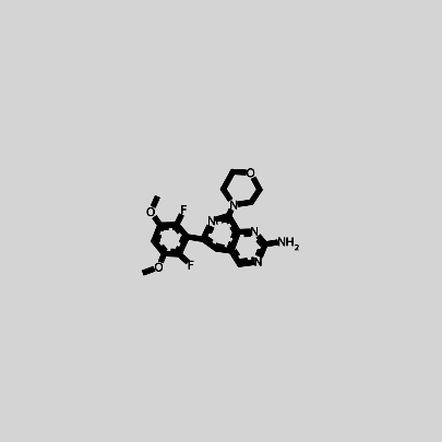 COc1cc(OC)c(F)c(-c2cc3cnc(N)nc3c(N3CCOCC3)n2)c1F